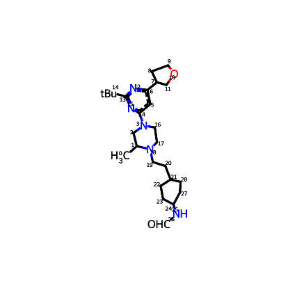 CC1CN(c2cc(C3CCOC3)nc(C(C)(C)C)n2)CCN1CCC1CCC(NC=O)CC1